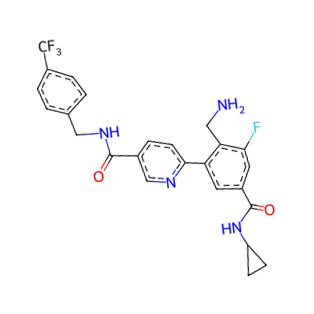 NCc1c(F)cc(C(=O)NC2CC2)cc1-c1ccc(C(=O)NCc2ccc(C(F)(F)F)cc2)cn1